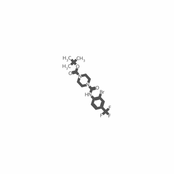 CC(C)(C)OC(=O)N1CCN(C(=O)Nc2ccc(C(F)(F)F)cc2Br)CC1